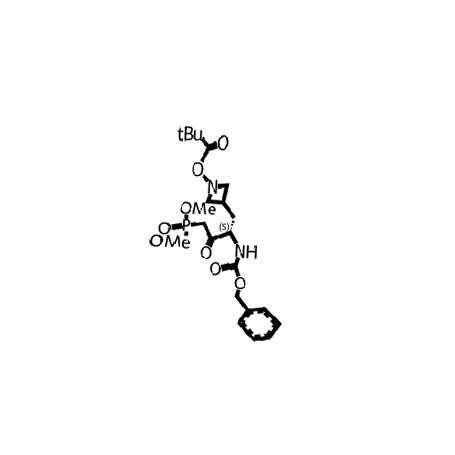 COP(=O)(CC(=O)[C@H](CC1CN(OC(=O)C(C)(C)C)C1)NC(=O)OCc1ccccc1)OC